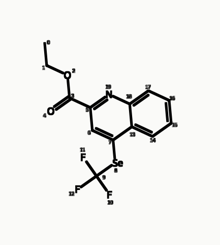 CCOC(=O)c1cc([Se]C(F)(F)F)c2ccccc2n1